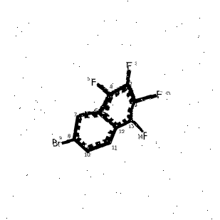 Fc1c(F)c(F)c2cc(Br)ccc2c1F